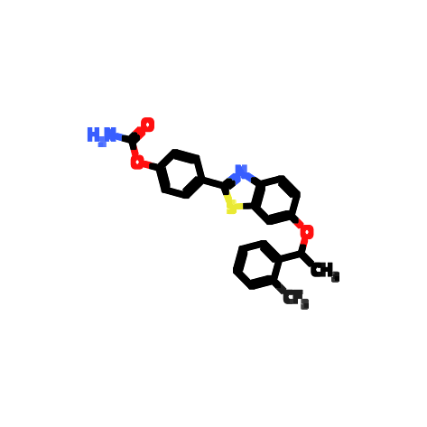 CC(Oc1ccc2nc(-c3ccc(OC(N)=O)cc3)sc2c1)c1ccccc1C(F)(F)F